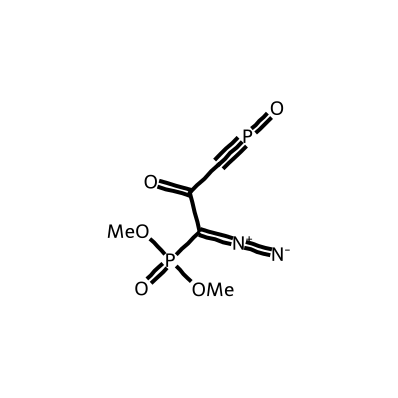 COP(=O)(OC)C(=[N+]=[N-])C(=O)C#P=O